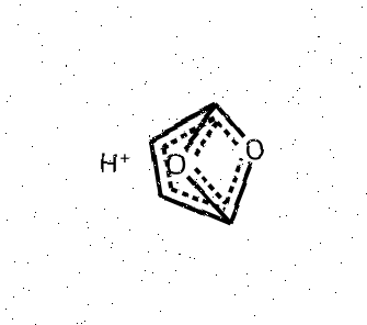 [H+].c1cc2oc1o2